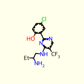 CCC(N)CNc1nc(-c2cc(Cl)ccc2O)ncc1C(F)(F)F